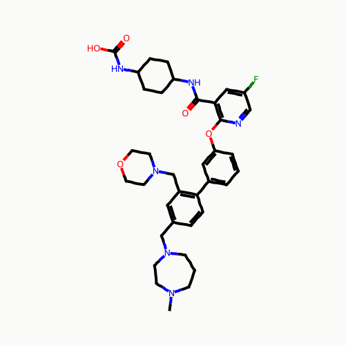 CN1CCCN(Cc2ccc(-c3cccc(Oc4ncc(F)cc4C(=O)NC4CCC(NC(=O)O)CC4)c3)c(CN3CCOCC3)c2)CC1